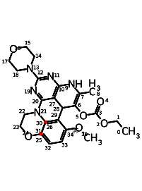 CCOC(=O)OC1=C(C)Nc2nc(N3CCOCC3)nc(N3CCOCC3)c2C1c1ccccc1OC